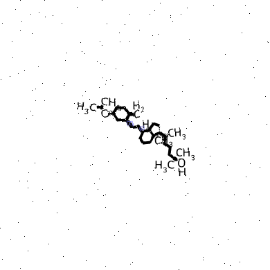 C=C1CC[C@H](OC(C)C)C/C1=C/C=C1\CCC[C@]2(C)[C@@H]([C@H](C)CCCC(C)(C)O)CC[C@@H]12